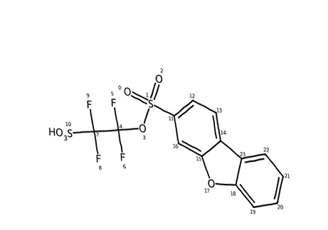 O=S(=O)(OC(F)(F)C(F)(F)S(=O)(=O)O)c1ccc2c(c1)oc1ccccc12